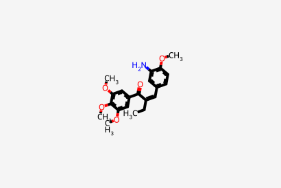 CCC(=Cc1ccc(OC)c(N)c1)C(=O)c1cc(OC)c(OC)c(OC)c1